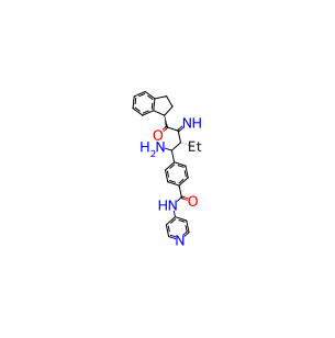 CC[C@@H](C(=N)C(=O)[C@@H]1CCc2ccccc21)C(N)c1ccc(C(=O)Nc2ccncc2)cc1